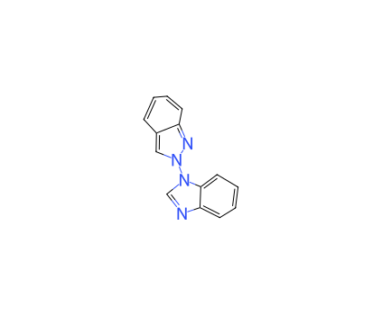 c1ccc2nn(-n3cnc4ccccc43)cc2c1